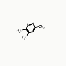 Bc1nnc(C)cc1C(F)(F)F